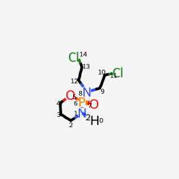 [2H]N1CCCOP1(=O)N(CCCl)CCCl